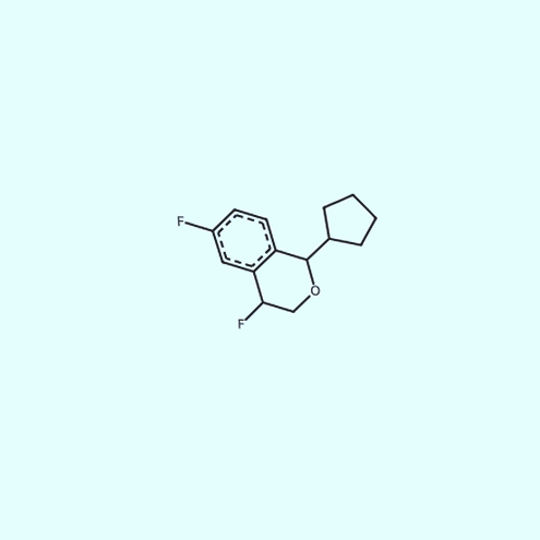 Fc1ccc2c(c1)C(F)COC2C1CCCC1